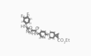 CCOC(=O)C1CC12CCN(c1ccc(NC(=O)c3nnc(Nc4ccc(F)c(F)c4)o3)cn1)CC2